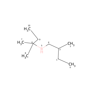 CCC(C)CBC(C)(C)CC